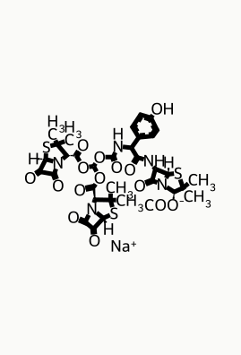 CC1(C)S[C@@H]2C(=O)C(=O)N2[C@H]1C(=O)OC(OC(=O)NC(C(=O)NC1C(=O)N2[C@@H]1SC(C)(C)[C@@H]2C(=O)[O-])c1ccc(O)cc1)OC(=O)[C@@H]1N2C(=O)C(=O)[C@H]2SC1(C)C.[Na+]